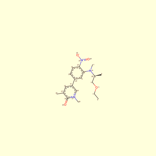 CCOC[C@H](C)N(C)c1cc(-c2cc(C)c(=O)n(C)c2)ccc1[N+](=O)[O-]